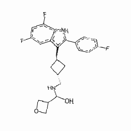 OC(NC[C@H]1C[C@H](c2c(-c3ccc(F)cc3)[nH]c3c(F)cc(F)cc32)C1)C1COC1